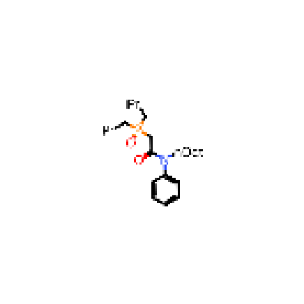 CCCCCCCCN(C(=O)CP(=O)(CC(C)C)CC(C)C)c1ccccc1